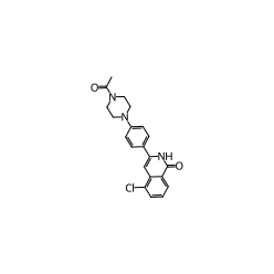 CC(=O)N1CCN(c2ccc(-c3cc4c(Cl)cccc4c(=O)[nH]3)cc2)CC1